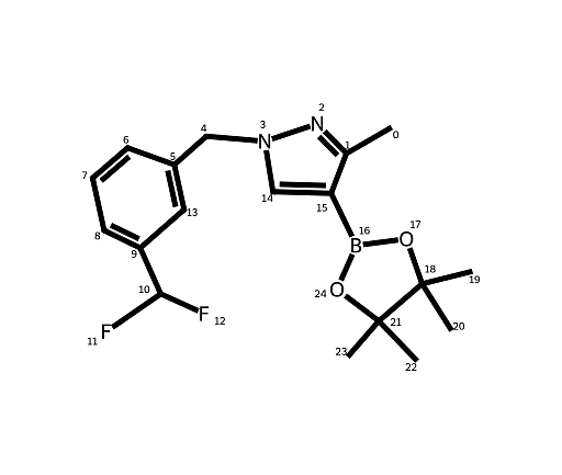 Cc1nn(Cc2cccc(C(F)F)c2)cc1B1OC(C)(C)C(C)(C)O1